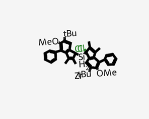 COc1c(C(C)(C)C)cc2c(c1-c1ccccc1)C(C)=C(C)C2(Cl)[SiH2]C1(Cl)C(C)=C(C)c2c1cc(C(C)(C)C)c(OC)c2-c1ccccc1.[Zr]